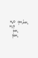 O.O.O.[InH3].[InH3].[SbH3]